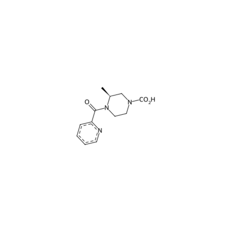 C[C@H]1CN(C(=O)O)CCN1C(=O)c1ccccn1